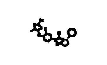 CC(=O)c1nc(C)c(Oc2ccc(-n3nc4n(c3=O)[C@H](c3ccccc3)CC4)cc2F)s1